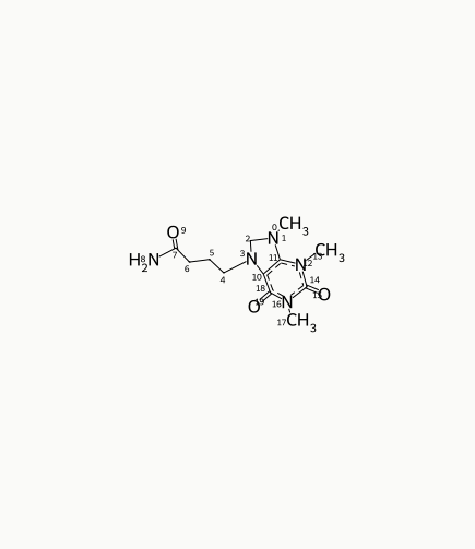 CN1CN(CCCC(N)=O)c2c1n(C)c(=O)n(C)c2=O